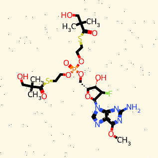 COc1nc(N)nc2c1ncn2C1O[C@H](COP(=O)(OCCSC(=O)C(C)(C)CO)OCCSC(=O)C(C)(C)CO)[C@H](O)C1F